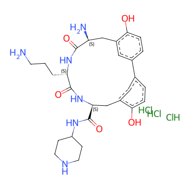 Cl.Cl.Cl.NCCC[C@@H]1NC(=O)[C@@H](N)Cc2cc(ccc2O)-c2ccc(O)c(c2)C[C@@H](C(=O)NC2CCNCC2)NC1=O